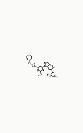 COc1nc(N2CC(OC3CCCCO3)C2)cc(-n2ncc3cc(C)c([C@@H]4CN(C)C[C@@H]4F)cc32)n1